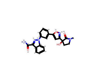 CN1CCC(O)(c2cc(-c3cccc(-n4nc(C(N)=O)c5ccccc54)c3)on2)C1=O